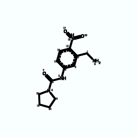 NCc1cc(NC(=O)N2CCCC2)ccc1[SH](=O)=O